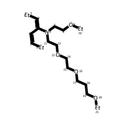 CC/C=C\C(=C/CC)N(CCOCC)CCOCCOCCCOCC